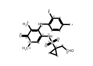 Cc1c(Nc2ccc(I)cc2F)c(NS(=O)(=O)C2(CC=O)CC2)cn(C)c1=O